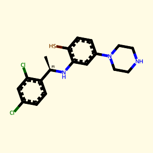 C[C@@H](Nc1cc(N2CCNCC2)ccc1S)c1ccc(Cl)cc1Cl